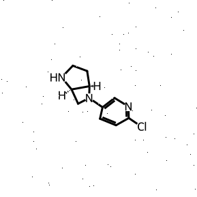 Clc1ccc(N2C[C@H]3NCC[C@H]32)cn1